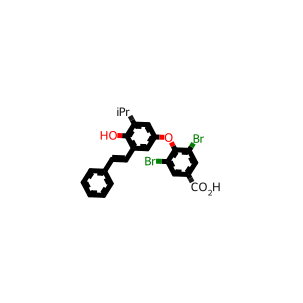 CC(C)c1cc(Oc2c(Br)cc(C(=O)O)cc2Br)cc(/C=C/c2ccccc2)c1O